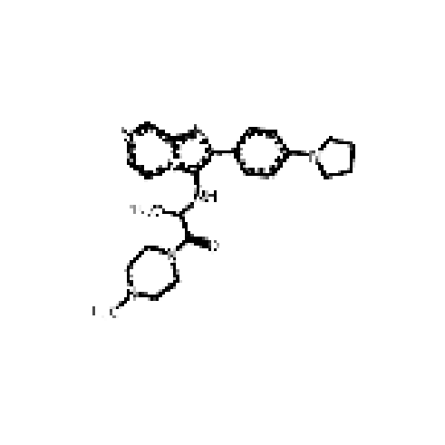 CC(Nc1c(-c2ccc(N3CCCC3)cc2)nc2cnccn12)C(=O)N1CCN(C)CC1